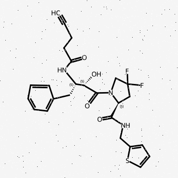 C#CCCC(=O)N[C@@H](Cc1ccccc1)[C@H](O)C(=O)N1CC(F)(F)C[C@H]1C(=O)NCc1cccs1